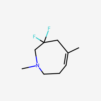 C/C1=C/CCN(C)CC(F)(F)C1